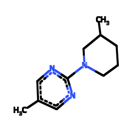 Cc1cnc(N2CCCC(C)C2)nc1